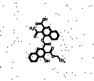 CCOC(=O)c1c(C(=O)Oc2c(C(C)=O)c(C(=O)O)nc3ccccc23)nc2ccccc2c1O